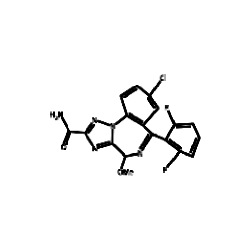 COC1N=C(c2c(F)cccc2F)c2cc(Cl)ccc2-n2nc(C(N)=O)nc21